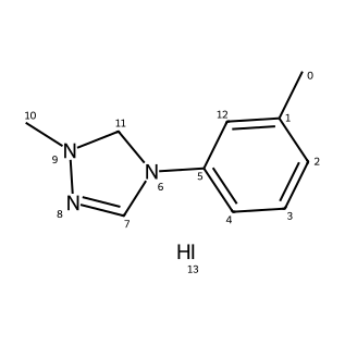 Cc1cccc(N2C=NN(C)C2)c1.I